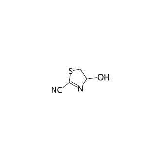 N#CC1=NC(O)CS1